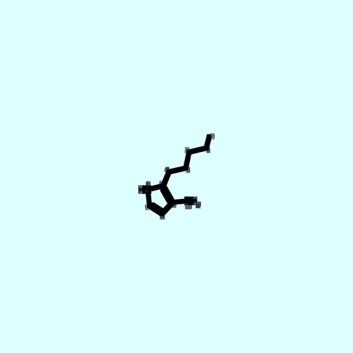 CCCCCc1[nH]ccc1N